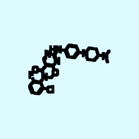 CN(C)C1CCN(c2ccc(Nc3ncc4c(n3)OCN(c3c(F)cccc3Cl)C4=O)cc2)CC1